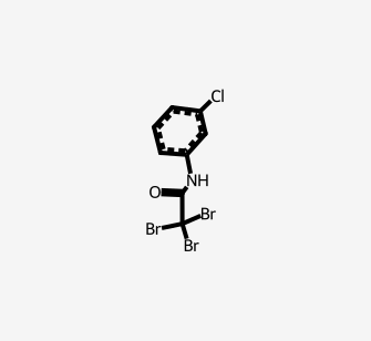 O=C(Nc1cccc(Cl)c1)C(Br)(Br)Br